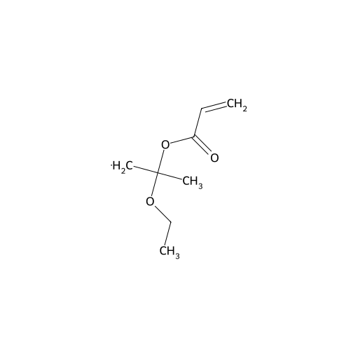 [CH2]C(C)(OCC)OC(=O)C=C